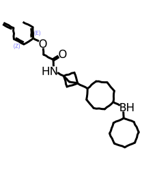 C=C/C=C\C(=C/C)OCC(=O)NC12CC(C3CCCC(BC4CCCCCCC4)CCC3)(C1)C2